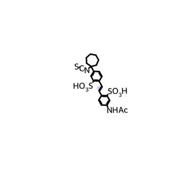 CC(=O)Nc1ccc(/C=C/c2ccc(C3(N=C=S)CCCCCC3)cc2S(=O)(=O)O)c(S(=O)(=O)O)c1